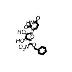 O=c1ccn([C@@H]2O[C@H](C(OCc3ccccc3)[N+](=O)[O-])[C@@H](O)[C@H]2O)c(=O)[nH]1